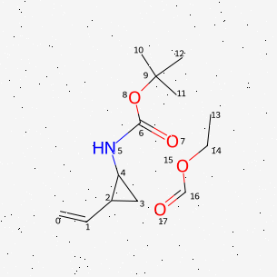 C=CC1CC1NC(=O)OC(C)(C)C.CCOC=O